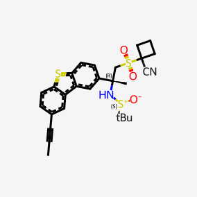 CC#Cc1ccc2sc3ccc([C@](C)(CS(=O)(=O)C4(C#N)CCC4)N[S@+]([O-])C(C)(C)C)cc3c2c1